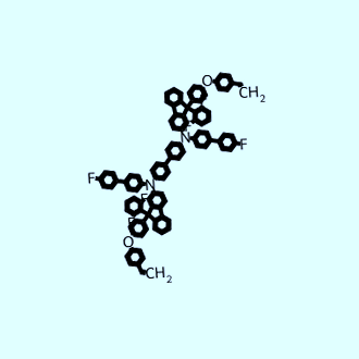 C=Cc1ccc(Oc2ccc(C3(c4c(F)cccc4F)c4ccccc4-c4ccc(N(c5ccc(-c6ccc(F)cc6)cc5)c5ccc(-c6ccc(N(c7ccc(-c8ccc(F)cc8)cc7)c7ccc8c(c7)C(c7ccc(Oc9ccc(C=C)cc9)cc7)(c7c(F)cccc7F)c7ccccc7-8)cc6)cc5)cc43)cc2)cc1